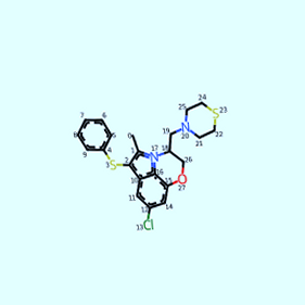 Cc1c(Sc2ccccc2)c2cc(Cl)cc3c2n1C(CN1CCSCC1)CO3